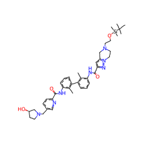 Cc1c(NC(=O)c2ccc(CN3CC[C@@H](O)C3)cn2)cccc1-c1cccc(NC(=O)c2cc3n(n2)CCN(CCO[Si](C)(C)C(C)(C)C)C3)c1C